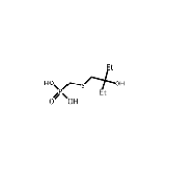 CCC(O)(CC)CSCP(=O)(O)O